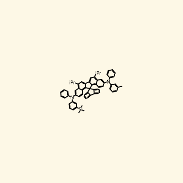 Cc1cccc(N(c2ccccc2)c2ccc3c4c(cc(C(C)C)c3c2)-c2cc(C(C)C)c3cc(N(c5ccccc5)c5cccc([Si](C)(C)C)c5)ccc3c2C42c3ccccc3-c3ccccc32)c1